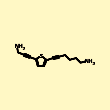 NCC#Cc1ccc(C#CCCCCN)s1